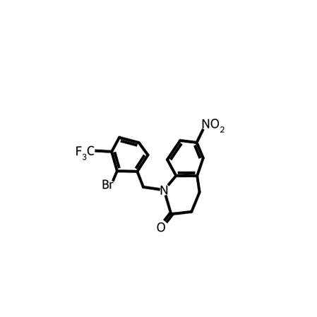 O=C1CCc2cc([N+](=O)[O-])ccc2N1Cc1cccc(C(F)(F)F)c1Br